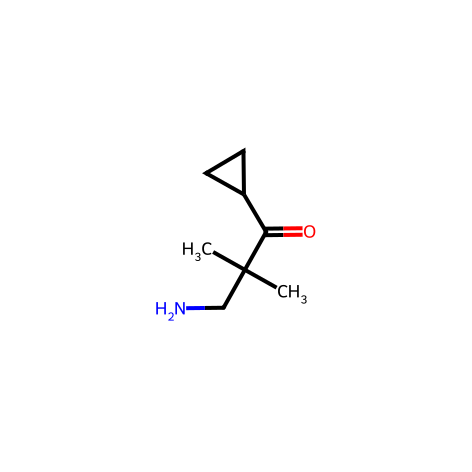 CC(C)(CN)C(=O)C1CC1